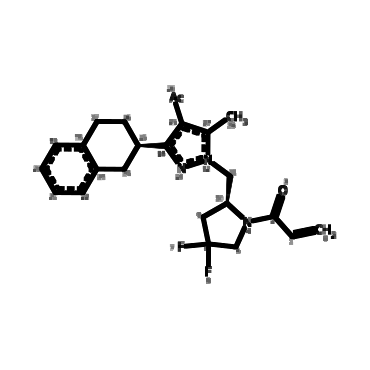 C=CC(=O)N1CC(F)(F)C[C@H]1Cn1nc([C@@H]2CCc3ccccc3C2)c(C(C)=O)c1C